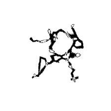 C=CCOC(=O)N1C2CCC1Cn1sc3c(cccc3c1=O)-c1nc3c(cc(CN4CCCC(COC)C4)cc3n(COCC[Si](C)(C)C)c1=O)OC2